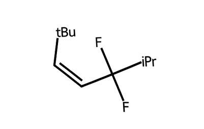 CC(C)C(F)(F)/C=C\C(C)(C)C